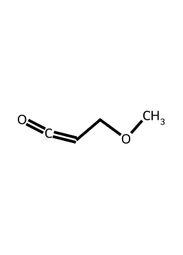 COCC=C=O